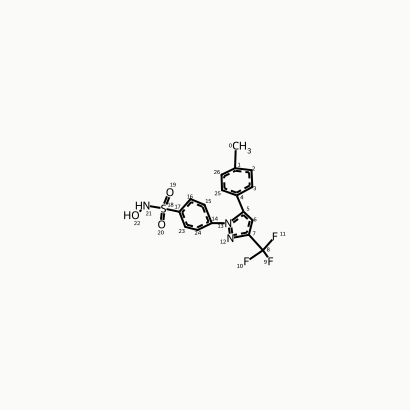 Cc1ccc(-c2cc(C(F)(F)F)nn2-c2ccc(S(=O)(=O)NO)cc2)cc1